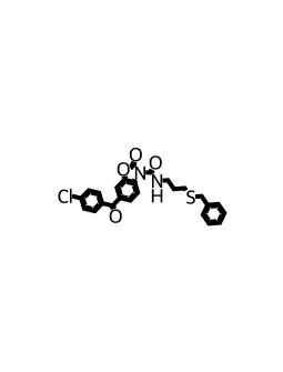 O=C(c1ccc(Cl)cc1)c1ccc2c(c1)oc(=O)n2C(=O)NCCCSCc1ccccc1